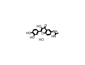 CC(=N)Nc1ccc2oc(-c3ccc(O)c(O)c3)c(O)c(=O)c2c1.Cl